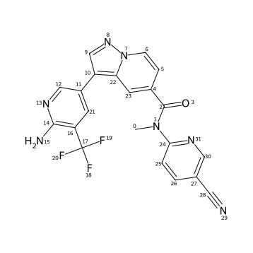 CN(C(=O)c1ccn2ncc(-c3cnc(N)c(C(F)(F)F)c3)c2c1)c1ccc(C#N)cn1